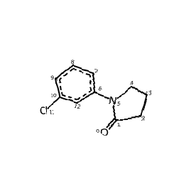 O=C1C[CH]CN1c1cccc(Cl)c1